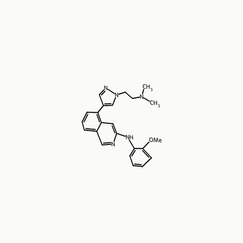 COc1c[c]ccc1Nc1cc2c(-c3cnn(CCN(C)C)c3)cccc2cn1